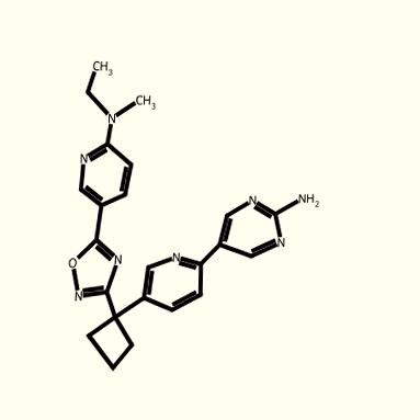 CCN(C)c1ccc(-c2nc(C3(c4ccc(-c5cnc(N)nc5)nc4)CCC3)no2)cn1